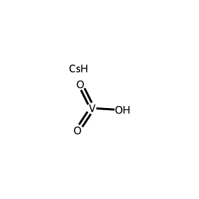 [CsH].[O]=[V](=[O])[OH]